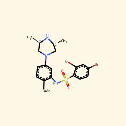 COc1ccc(N2C[C@@H](C)N[C@@H](C)C2)cc1NS(=O)(=O)c1ccc(Br)cc1Br